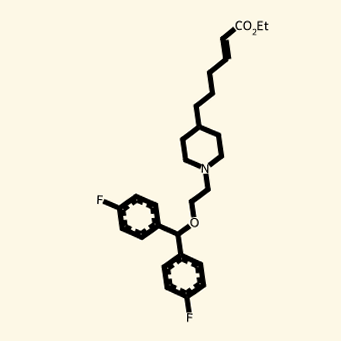 CCOC(=O)C=CCCCC1CCN(CCOC(c2ccc(F)cc2)c2ccc(F)cc2)CC1